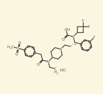 CCN(C(=O)Cc1ccc(S(C)(=O)=O)cc1)C1CCN(CC[C@@H](c2cccc(F)c2)N(C(=O)O)C2CC(F)(F)C2)CC1.Cl